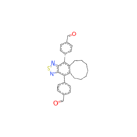 O=Cc1ccc(-c2c3c(c(-c4ccc(C=O)cc4)c4nsnc24)CCCCCCC3)cc1